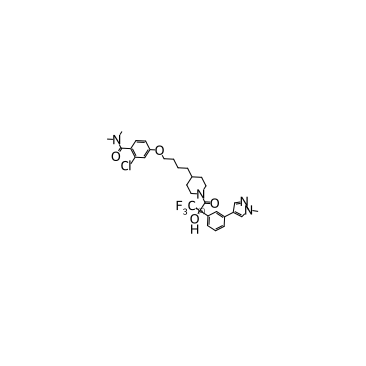 CN(C)C(=O)c1ccc(OCCCCC2CCN(C(=O)[C@@](O)(c3cccc(-c4cnn(C)c4)c3)C(F)(F)F)CC2)cc1Cl